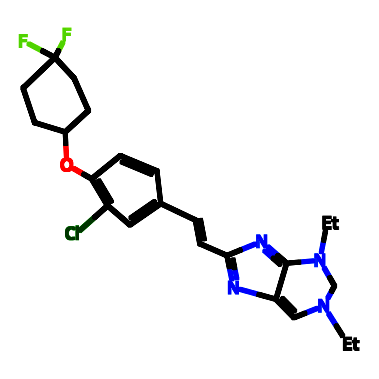 CCN1C=C2N=C(C=Cc3ccc(OC4CCC(F)(F)CC4)c(Cl)c3)N=C2N(CC)C1